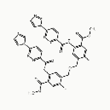 COC(=O)c1cc(F)c(COCc2cc(NC(=O)c3ccc(-n4ccnc4)nn3)c(C(=O)OC)cc2F)cc1NC(=O)c1ccc(-n2ccnc2)nn1